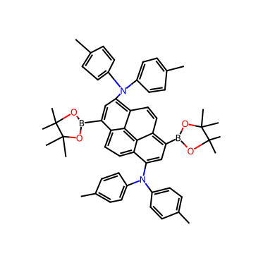 Cc1ccc(N(c2ccc(C)cc2)c2cc(B3OC(C)(C)C(C)(C)O3)c3ccc4c(N(c5ccc(C)cc5)c5ccc(C)cc5)cc(B5OC(C)(C)C(C)(C)O5)c5ccc2c3c54)cc1